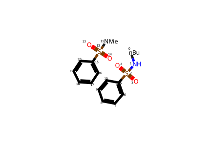 CCCCNS(=O)(=O)c1ccccc1.CNS(=O)(=O)c1ccccc1